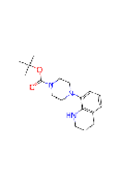 CC(C)(C)OC(=O)N1CCN(c2cccc3c2NCCC3)CC1